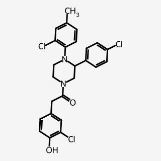 Cc1ccc(N2CCN(C(=O)Cc3ccc(O)c(Cl)c3)CC2c2ccc(Cl)cc2)c(Cl)c1